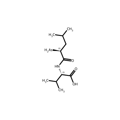 CC(C)C[C@H]([AsH2])C(=O)N[C@H](C(=O)O)C(C)C